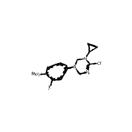 COc1ccc(N2CN=C(Cl)N(C3CC3)C2)cc1F